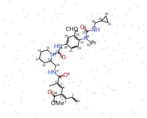 C=C/C=C(\C=C(/C)C(=O)NCC1CCCCN1C(=O)Nc1ccc(N(C(=O)NCC2CC2)C(C)C)c(C=O)c1)C(=O)OC